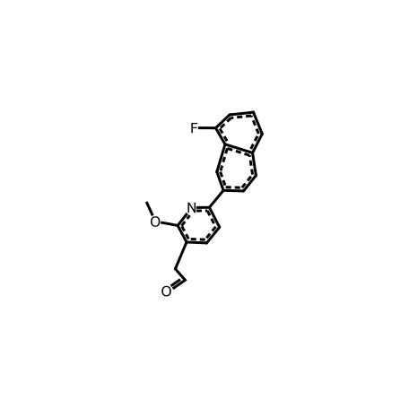 COc1nc(-c2ccc3cccc(F)c3c2)ccc1CC=O